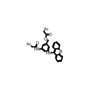 CC(=O)CC(=O)Nc1cc(COC(=O)CC(C)=O)cc(Nc2c3ccccc3nc3ccccc23)c1